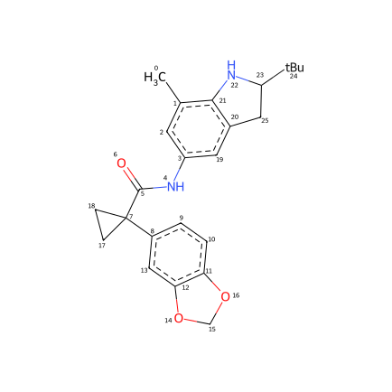 Cc1cc(NC(=O)C2(c3ccc4c(c3)OCO4)CC2)cc2c1NC(C(C)(C)C)C2